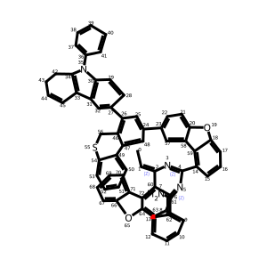 C\C=C(/N=C(\N=C(/N)c1ccccc1)c1cccc2oc3ccc(-c4cc(-c5ccc6c(c5)c5c(n6-c6ccccc6)CCC=C5)c5c(c4)-c4ccccc4SC5)cc3c12)c1cccc2oc3ccccc3c12